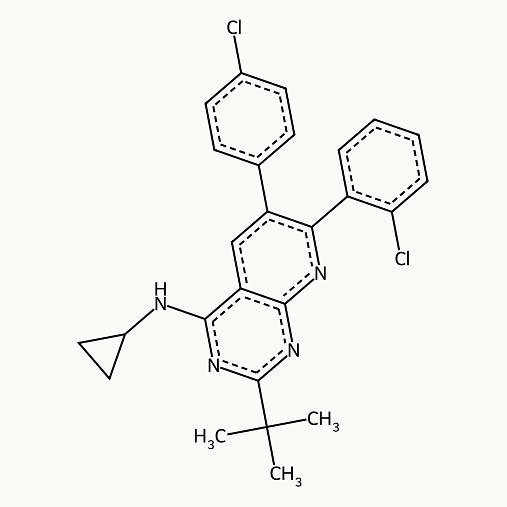 CC(C)(C)c1nc(NC2CC2)c2cc(-c3ccc(Cl)cc3)c(-c3ccccc3Cl)nc2n1